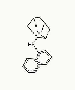 c1ccc2c(PC3C4CC5CC(C4)CC3C5)cccc2c1